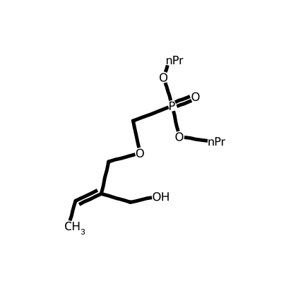 C/C=C(\CO)COCP(=O)(OCCC)OCCC